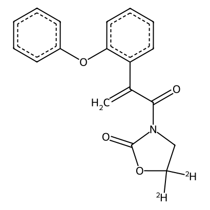 [2H]C1([2H])CN(C(=O)C(=C)c2ccccc2Oc2ccccc2)C(=O)O1